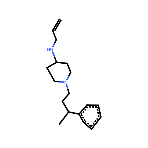 C=CCNC1CCN(CCC(C)c2ccccc2)CC1